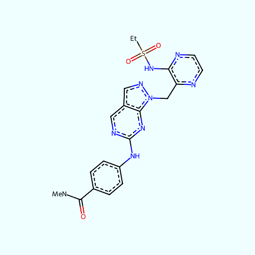 CCS(=O)(=O)Nc1nccnc1Cn1ncc2cnc(Nc3ccc(C(=O)NC)cc3)nc21